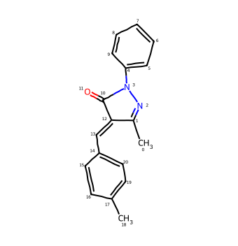 CC1=NN(c2ccccc2)C(=O)/C1=C/c1ccc(C)cc1